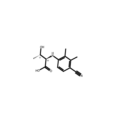 Cc1c(C#N)ccc(N[C@@H](C(=O)O)[C@H](C)O)c1C